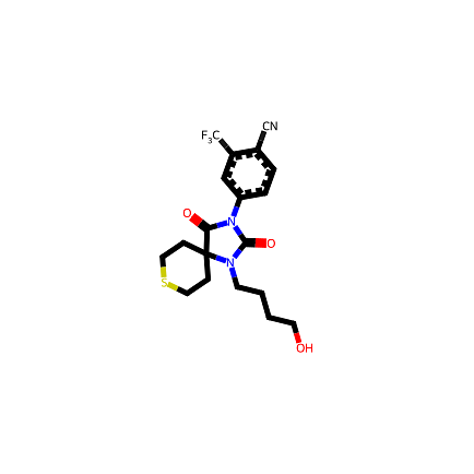 N#Cc1ccc(N2C(=O)N(CCCCO)C3(CCSCC3)C2=O)cc1C(F)(F)F